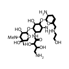 CN[C@@H]1[C@@H](O)[C@@H](O[C@H]2[C@H](NC(=O)C(O)C(O)CN)C[C@H](N)C(O[C@H]3OC(CNCCO)=CC[C@H]3N)[C@@H]2O)OC[C@]1(C)O